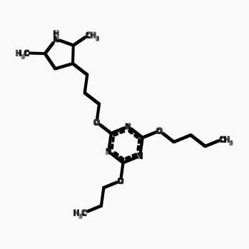 CCCCOc1nc(OCCC)nc(OCCCC2CC(C)NC2C)n1